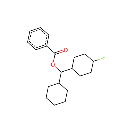 O=C(OC(C1CCCCC1)C1CCC(F)CC1)c1ccccc1